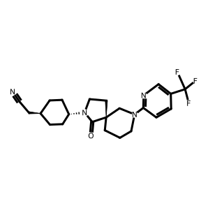 N#CC[C@H]1CC[C@H](N2CC[C@@]3(CCCN(c4ccc(C(F)(F)F)cn4)C3)C2=O)CC1